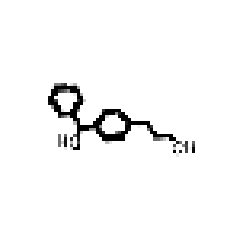 OCCCc1ccc(C(O)c2ccccc2)cc1